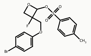 Cc1ccc(S(=O)(=O)OC2OCC2(F)COc2ccc(Br)cc2)cc1